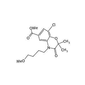 COCCCCN1C(=O)C(C)(C)Oc2c(Cl)cc(C(=O)OC)cc21